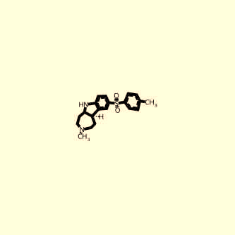 Cc1ccc(S(=O)(=O)c2ccc3c(c2)[C@H]2CCN(C)CCC2N3)cc1